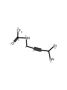 CCCC(C#CCNC(=O)C(F)(F)F)CC